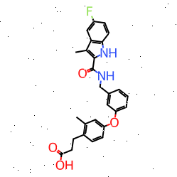 Cc1cc(Oc2cccc(CNC(=O)c3[nH]c4ccc(F)cc4c3C)c2)ccc1CCC(=O)O